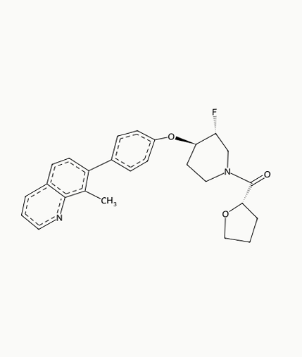 Cc1c(-c2ccc(O[C@@H]3CCN(C(=O)[C@@H]4CCCO4)C[C@H]3F)cc2)ccc2cccnc12